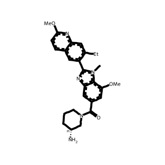 CCc1cc2nc(OC)ccc2cc1-c1nc2cc(C(=O)N3CCC[C@@H](N)C3)cc(OC)c2n1C